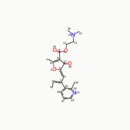 C/C=C(/C=C1\OC(C)=C(C(=O)OCCN(C)C)C1=O)c1cccnc1C